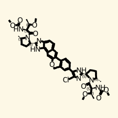 COC(=O)N[C@H](C(=O)N1[C@@H](C)CC[C@H]1c1nc(Cl)c(-c2ccc3c(c2)COc2cc4c(ccc5nc([C@@H]6CC[C@H](C)N6C(=O)[C@@H](NC(=O)OC)[C@@H](C)OC)[nH]c54)cc2-3)[nH]1)[C@@H](C)OC